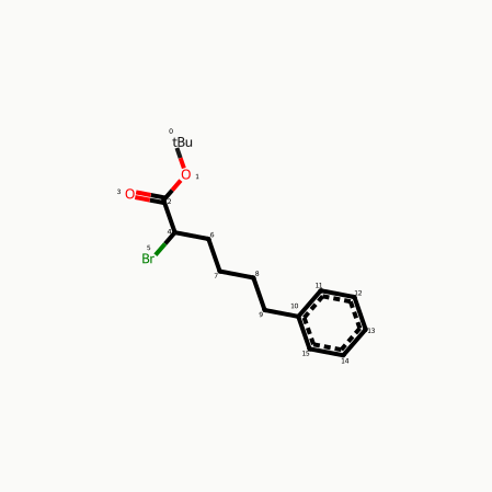 CC(C)(C)OC(=O)C(Br)CCCCc1ccccc1